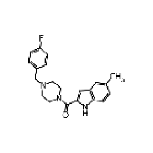 Cc1ccc2[nH]c(C(=O)N3CCN(Cc4ccc(F)cc4)CC3)cc2c1